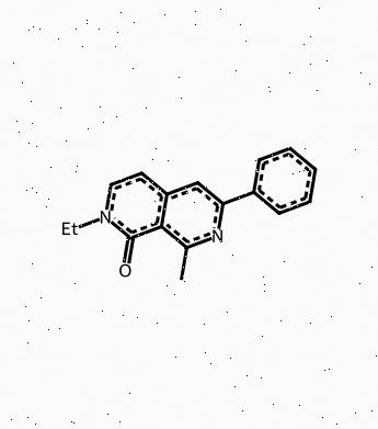 CCn1ccc2cc(-c3ccccc3)nc(C)c2c1=O